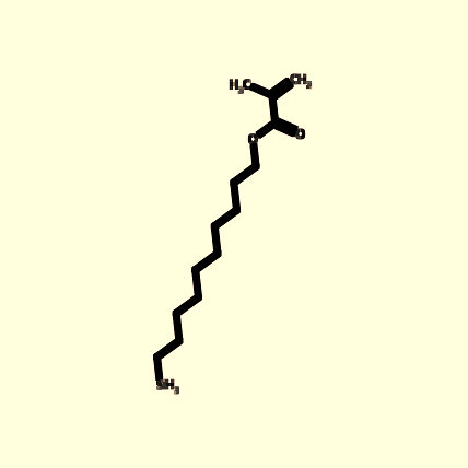 C=C(C)C(=O)OCCCCCCCCCC[SiH3]